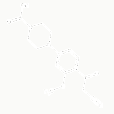 COc1cc(N2CCN(C(=O)O)CC2)ccc1C(=O)CC#N